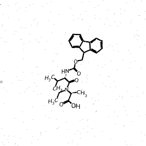 CCN(C(=O)[C@@H](NC(=O)OCC1c2ccccc2-c2ccccc21)C(C)C)[C@@H](C)C(=O)O